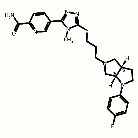 Cn1c(SCCCN2C[C@@H]3CCN(c4ccc(F)cc4)[C@@H]3C2)nnc1-c1ccc(C(N)=O)nc1